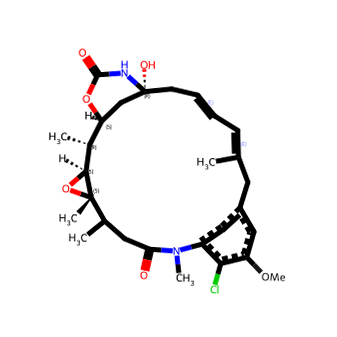 COc1cc2cc(c1Cl)N(C)C(=O)CC(C)[C@]1(C)O[C@H]1[C@H](C)[C@@H]1C[C@](O)(C/C=C/C=C(\C)C2)NC(=O)O1